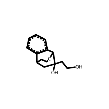 OCCC1(O)CC2CCCC1c1ccccc12